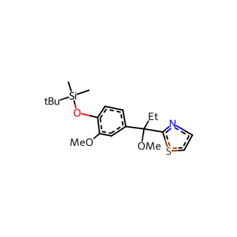 CCC(OC)(c1ccc(O[Si](C)(C)C(C)(C)C)c(OC)c1)c1nccs1